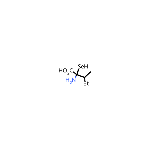 CCC(C)C(N)([SeH])C(=O)O